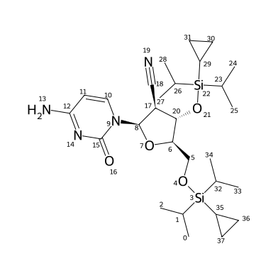 CC(C)[Si](OC[C@H]1O[C@@H](n2ccc(N)nc2=O)[C@@H](C#N)[C@@H]1O[Si](C(C)C)(C(C)C)C1CC1)(C(C)C)C1CC1